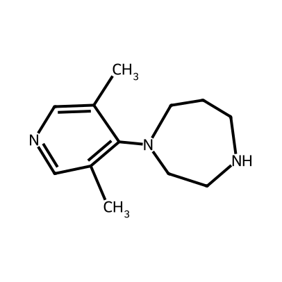 Cc1cncc(C)c1N1CCCNCC1